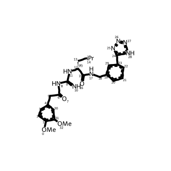 COc1ccc(CC(=O)NC(=N)N[C@H](CC(C)C)C(=O)NCc2cccc(-c3nnn[nH]3)c2)cc1OC